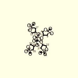 O=P(OC1COS(=O)(=O)C1)(OC1COS(=O)(=O)C1)P(=O)(OC1COS(=O)(=O)C1)OC1COS(=O)(=O)C1